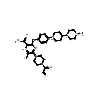 C=CC(=O)N1CCN(c2nc(Nc3ccc(N4CCC(N5CCN(C)CC5)CC4)cc3)c(C(N)=O)nc2CC)CC1